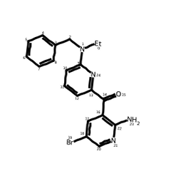 CCN(Cc1ccccc1)c1cccc(C(=O)c2cc(Br)cnc2N)n1